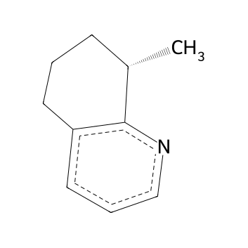 C[C@H]1CCCc2cccnc21